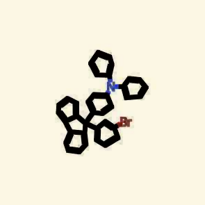 Brc1cccc(C2(c3ccc(N(c4ccccc4)c4ccccc4)cc3)c3ccccc3-c3ccccc32)c1